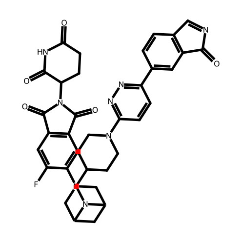 O=C1CCC(N2C(=O)c3cc(F)c(N4CC5CC(C4)N5CC4CCN(c5ccc(-c6ccc7c(c6)C(=O)N=C7)nn5)CC4)cc3C2=O)C(=O)N1